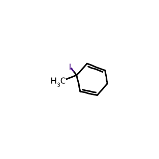 CC1(I)C=CCC=C1